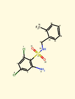 Nc1cc(Cl)cc(Cl)c1S(=O)(=O)NCc1ccccc1C(F)(F)F